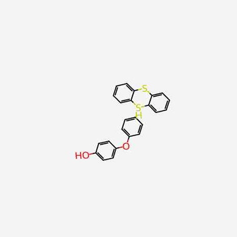 Oc1ccc(Oc2ccc([SH]3c4ccccc4Sc4ccccc43)cc2)cc1